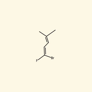 CC(C)=CC=C(F)Br